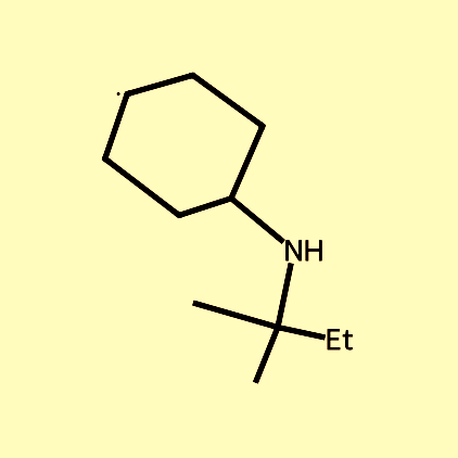 CCC(C)(C)NC1CC[CH]CC1